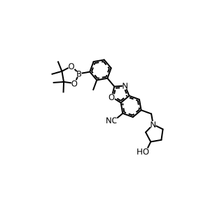 Cc1c(B2OC(C)(C)C(C)(C)O2)cccc1-c1nc2cc(CN3CCC(O)C3)cc(C#N)c2o1